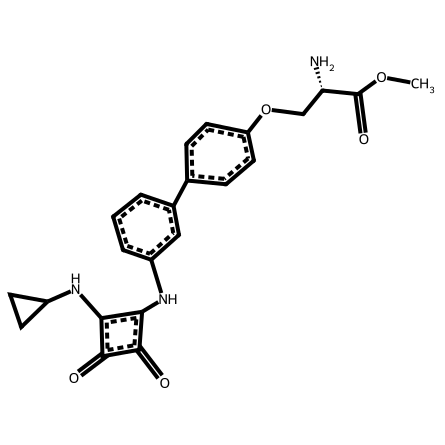 COC(=O)[C@@H](N)COc1ccc(-c2cccc(Nc3c(NC4CC4)c(=O)c3=O)c2)cc1